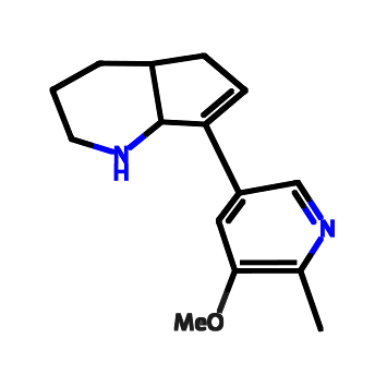 COc1cc(C2=CCC3CCCNC23)cnc1C